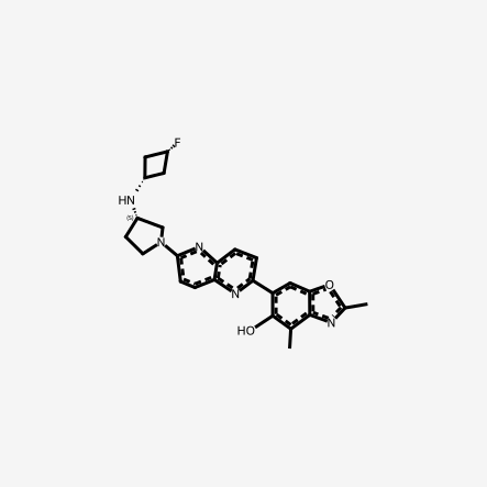 Cc1nc2c(C)c(O)c(-c3ccc4nc(N5CC[C@H](N[C@H]6C[C@@H](F)C6)C5)ccc4n3)cc2o1